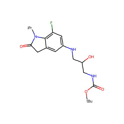 CC(C)N1C(=O)Cc2cc(NCC(O)CNC(=O)OC(C)(C)C)cc(F)c21